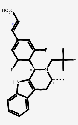 C[C@@H]1Cc2c([nH]c3ccccc23)[C@@H](C2C(F)=CC(/C=C/C(=O)O)=CC2F)N1CC(C)(C)F